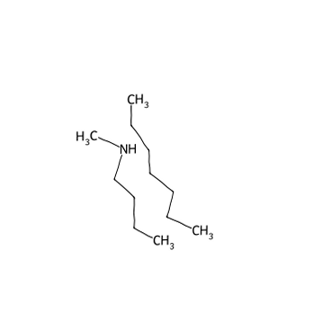 CCCCCCC.CCCCNC